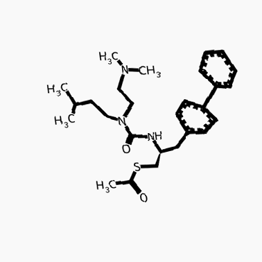 CC(=O)SC[C@H](Cc1ccc(-c2ccccc2)cc1)NC(=O)N(CCC(C)C)CCN(C)C